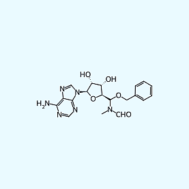 CN(C=O)C(OCc1ccccc1)[C@H]1O[C@@H](n2cnc3c(N)ncnc32)[C@H](O)[C@@H]1O